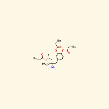 CCC(C)CC(=O)Oc1ccc(CC(N)(C[C@H](C)OC(=O)CC(C)CC)C(=O)O)cc1OC(=O)CC(C)CC